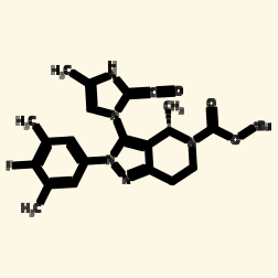 CC1=CN(c2c3c(nn2-c2cc(C)c(F)c(C)c2)CCN(C(=O)OC(C)(C)C)[C@H]3C)C(=C=O)N1